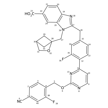 N#Cc1ccc(COc2nccc(-c3ccc(Cc4nc5ccc(C(=O)O)cc5n4CC45CC(CO4)C5)cc3F)n2)c(F)c1